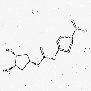 O=C(Oc1ccc([N+](=O)[O-])cc1)O[C@H]1C[C@@H](O)[C@@H](O)C1